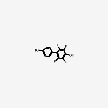 Oc1ccc(-c2c(F)c(F)c(O)c(F)c2F)cc1